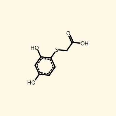 O=C(O)CSc1ccc(O)cc1O